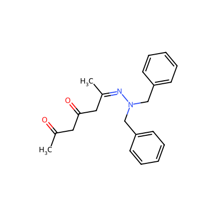 CC(=O)CC(=O)CC(C)=NN(Cc1ccccc1)Cc1ccccc1